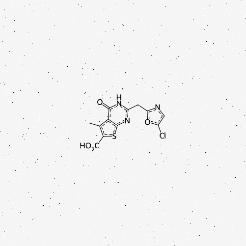 Cc1c(C(=O)O)sc2nc(Cc3ncc(Cl)o3)[nH]c(=O)c12